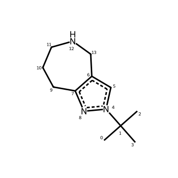 CC(C)(C)n1cc2c(n1)CCCNC2